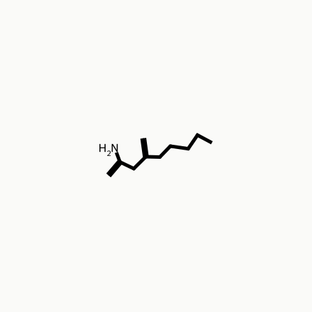 C=C(N)CC(=C)CCCCC